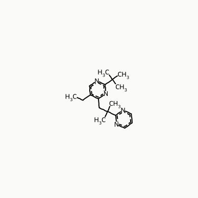 CCc1cnc(C(C)(C)C)nc1CC(C)(C)c1ncccn1